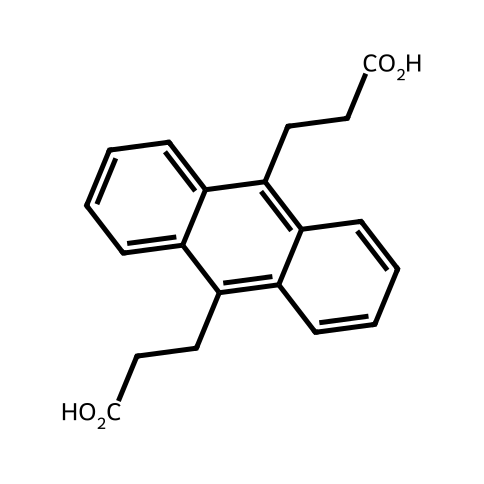 O=C(O)CCc1c2ccccc2c(CCC(=O)O)c2ccccc12